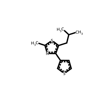 Cc1nc(-c2ccsc2)c(CC(C)C)s1